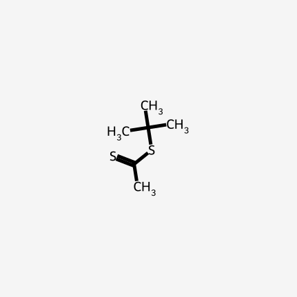 CC(=S)SC(C)(C)C